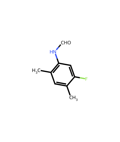 Cc1cc(C)c(NC=O)cc1F